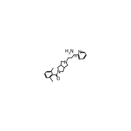 Cc1cccc(C)c1C(=O)N1CC2CN(CC[C@H](N)c3ccccn3)CC2C1